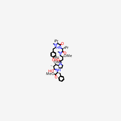 CC[C@H](C)C([C@@H](CC(=O)N1CCC[C@H]1[C@H](OC)[C@@H](C)C(O)N[C@@H](Cc1ccccc1)C(=O)OC)OC)N(C)C(=O)[C@@H](NC(=O)[C@H](C(C)C)N(C)CCc1ccc(O)cc1)C(C)C